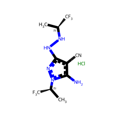 C[C@H](NNc1nn([C@@H](C)C(F)(F)F)c(N)c1C#N)C(F)(F)F.Cl